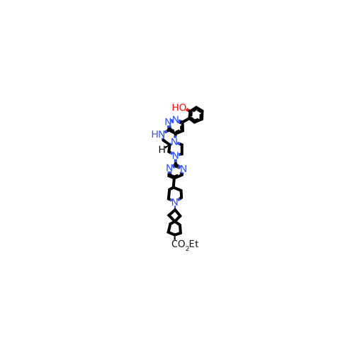 CCOC(=O)[C@H]1CCC2(CC1)C[C@H](N1CCC(c3cnc(N4CCN5c6cc(-c7ccccc7O)nnc6NC[C@H]5C4)nc3)CC1)C2